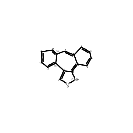 C1=C2C(=c3ccccc3=Cc3ccccc32)NO1